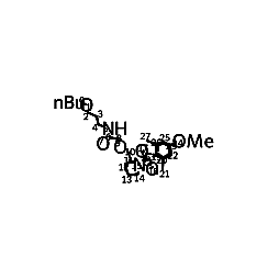 CCCCOCCCNC(=O)COC[C@@H]1CCCN1S(=O)(=O)c1c(C)cc(OC)cc1C